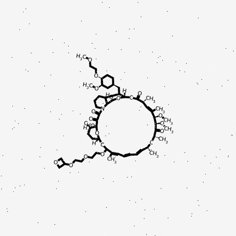 COCCO[C@@H]1CC[C@@H](CC2[C@H]3CCCN4C(=O)C(=O)[C@]5(O)O[C@@H](CC[C@H]5C)CC(OCCOCCOC5COC5)/C(C)=C/C=C/C=C/[C@@H](C)C[C@@H](C)C(=O)[C@H](OC)[C@H](OC)/C(C)=C/[C@@H](C)C(=O)C[C@@H]2OC(=O)C34)C[C@H]1OC